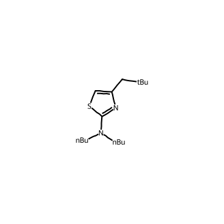 CCCCN(CCCC)c1nc(CC(C)(C)C)cs1